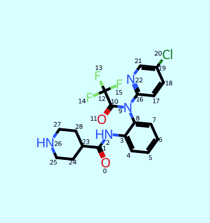 O=C(Nc1ccccc1N(C(=O)C(F)(F)F)c1ccc(Cl)cn1)C1CCNCC1